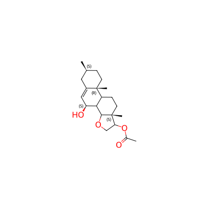 CC(=O)OC1COC2C3C(CC[C@]12C)[C@@]1(C)CC[C@H](C)CC1=C[C@@H]3O